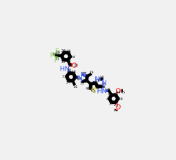 COc1ccc(CNc2ncnc3c(-c4cn(-c5cc(NC(=O)c6cccc(C(F)(F)F)c6)ccc5C)nc4C)csc23)c(OC)c1